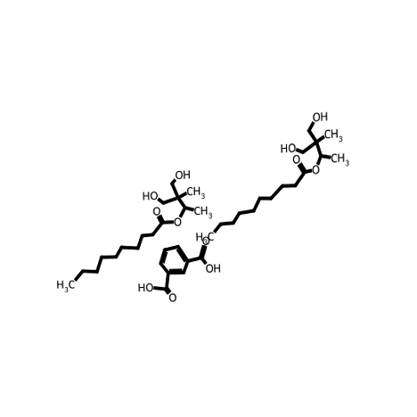 CCCCCCCCCC(=O)OC(C)C(C)(CO)CO.CCCCCCCCCC(=O)OC(C)C(C)(CO)CO.O=C(O)c1cccc(C(=O)O)c1